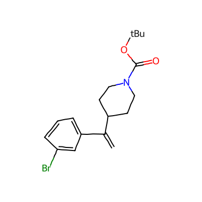 C=C(c1cccc(Br)c1)C1CCN(C(=O)OC(C)(C)C)CC1